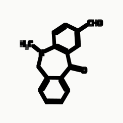 CN1Cc2ccccc2C(=O)c2cc(C=O)ccc21